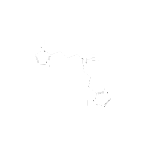 CCN(CCCc1ncc[nH]1)CCCc1ncc[nH]1